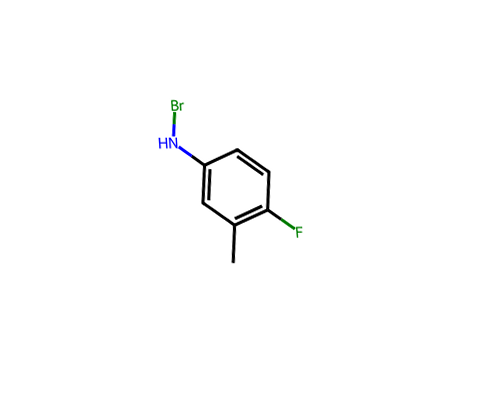 Cc1cc(NBr)ccc1F